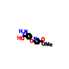 COC(=O)c1ccc(Oc2ccc(N)c(CO)c2)nc1